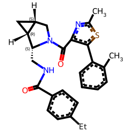 CCc1ccc(C(=O)NC[C@@H]2[C@@H]3C[C@@H]3CN2C(=O)c2nc(C)sc2-c2ccccc2C)cc1